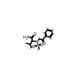 CC(C)C(C(N)=O)N(CC(=O)c1ccccc1)S(C)(=O)=O